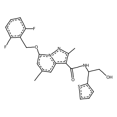 Cc1cc(OCc2c(F)cccc2F)n2nc(C)c(C(=O)NC(CO)c3cccs3)c2c1